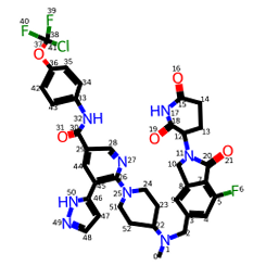 CN(Cc1cc(F)c2c(c1)CN(C1CCC(=O)NC1=O)C2=O)C1CCN(c2ncc(C(=O)Nc3ccc(OC(F)(F)Cl)cc3)cc2-c2ccn[nH]2)CC1